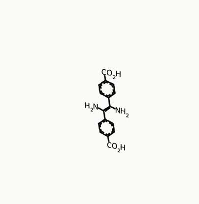 NC(=C(N)c1ccc(C(=O)O)cc1)c1ccc(C(=O)O)cc1